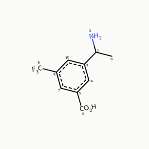 CC(N)c1cc(C(=O)O)cc(C(F)(F)F)c1